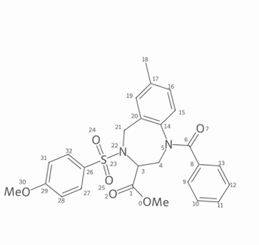 COC(=O)C1CN(C(=O)c2ccccc2)c2ccc(C)cc2CN1S(=O)(=O)c1ccc(OC)cc1